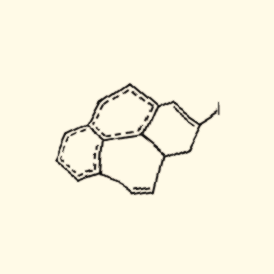 IC1=Cc2ccc3cccc4c3c2C(C=C4)C1